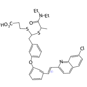 CCN(CC)C(=O)C(C)SC(Cc1cccc(Oc2cccc(/C=C/c3ccc4ccc(Cl)cc4n3)c2)c1)SCCC(=O)O